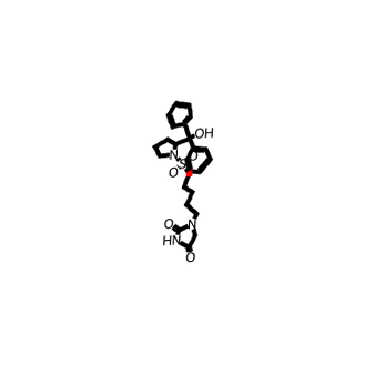 O=C1CN(CCCCCS(=O)(=O)N2CCCC2C(O)(c2ccccc2)c2ccccc2)C(=O)N1